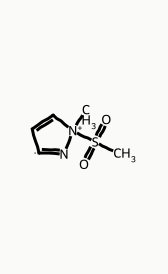 C[N+]1(S(C)(=O)=O)C=C[C]=N1